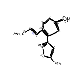 Cc1cc(-c2cc(O)ccc2/C=C/C(=O)O)no1